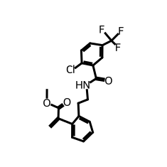 C=C(C(=O)OC)c1ccccc1CCNC(=O)c1cc(C(F)(F)F)ccc1Cl